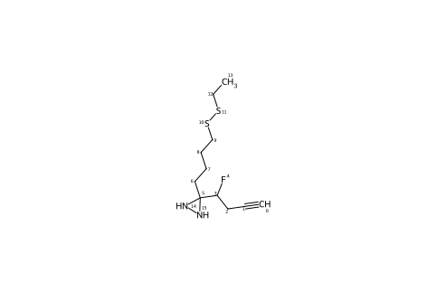 C#CCC(F)C1(CCCCSSCC)NN1